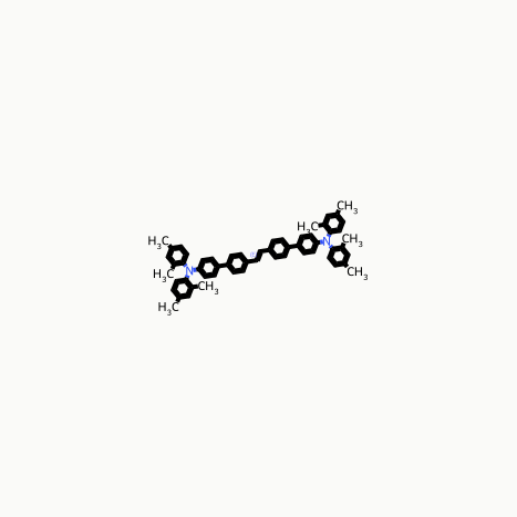 Cc1ccc(N(c2ccc(-c3ccc(/C=C/c4ccc(-c5ccc(N(c6ccc(C)cc6C)c6ccc(C)cc6C)cc5)cc4)cc3)cc2)c2ccc(C)cc2C)c(C)c1